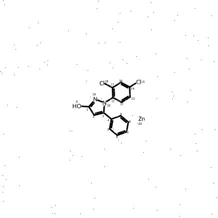 Oc1cc(-c2ccccc2)n(-c2ccc(Cl)cc2Cl)n1.[Zn]